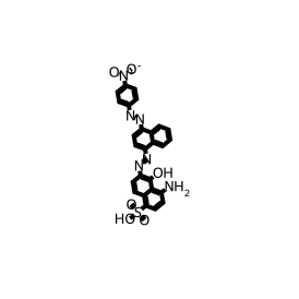 Nc1ccc(S(=O)(=O)O)c2ccc(N=Nc3ccc(N=Nc4ccc([N+](=O)[O-])cc4)c4ccccc34)c(O)c12